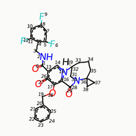 O=C(NCc1c(F)cc(F)cc1F)c1cn2c(c(OCc3ccccc3)c1=O)C(=O)N1C[C@@H]2CCCC12CC2